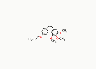 CCCOc1ccc(/C=C\c2cc(OC)c(OC)c(OC)c2)cc1